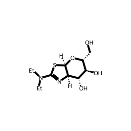 CCN(CC)C1=N[C@@H]2[C@@H](O)[C@H](O)[C@@H](CO)O[C@@H]2S1